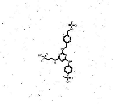 CS(=O)(=O)NCc1ccc(CNc2nc(NCCS(=O)(=O)O)nc(Nc3ccc(S(=O)(=O)O)cc3)n2)cc1